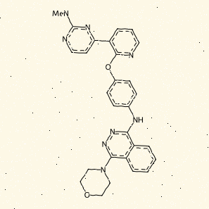 CNc1nccc(-c2cccnc2Oc2ccc(Nc3nnc(N4CCOCC4)c4ccccc34)cc2)n1